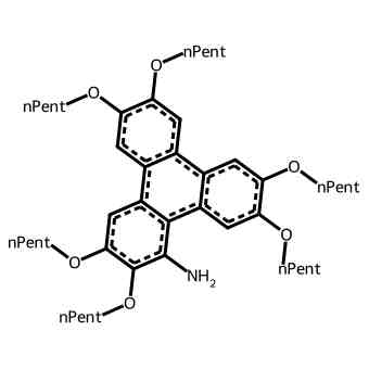 CCCCCOc1cc2c3cc(OCCCCC)c(OCCCCC)cc3c3c(N)c(OCCCCC)c(OCCCCC)cc3c2cc1OCCCCC